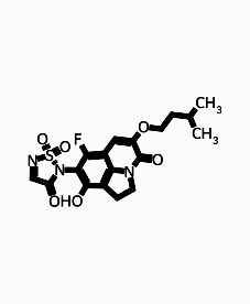 CC(C)CCOc1cc2c(F)c(N3C(=O)C=NS3(=O)=O)c(O)c3c2n(c1=O)CC3